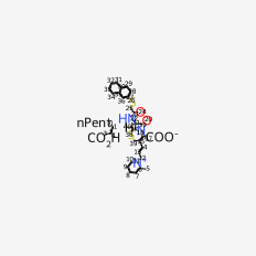 CCCCCC=C(C)C(=O)O.Cc1cccc[n+]1C/C=C/C1=C(C(=O)[O-])N2C(=O)[C@@H](NC(=O)CSc3ccc4ccccc4c3)[C@H]2SC1